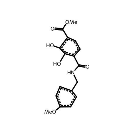 COC(=O)c1ccc(C(=O)NCc2ccc(OC)cc2)c(O)c1O